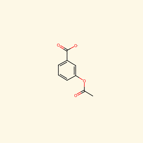 CC(=O)Oc1cccc(C([O])=O)c1